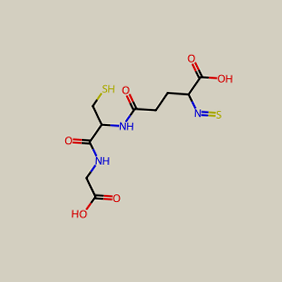 O=C(O)CNC(=O)C(CS)NC(=O)CCC(N=S)C(=O)O